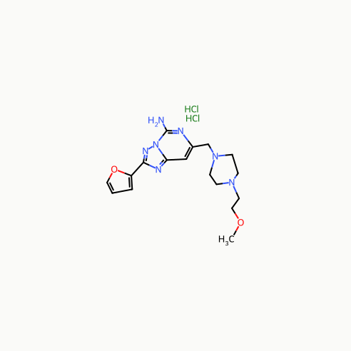 COCCN1CCN(Cc2cc3nc(-c4ccco4)nn3c(N)n2)CC1.Cl.Cl